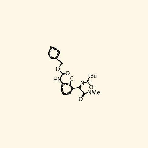 CNC(=O)C(=N[S@+]([O-])C(C)(C)C)c1cccc(NC(=O)OCc2ccccc2)c1Cl